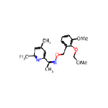 COCOc1c(CON=C(C)c2cc(C)cc(C)n2)cccc1OC